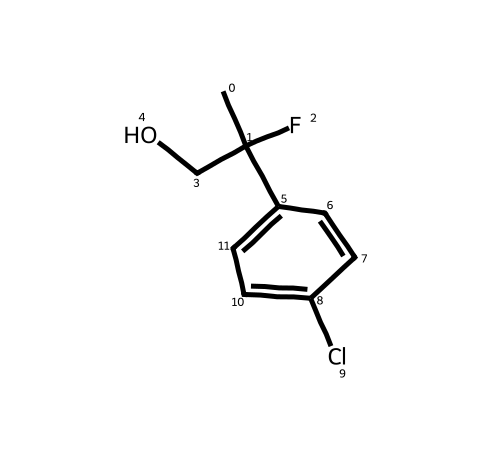 CC(F)(CO)c1ccc(Cl)cc1